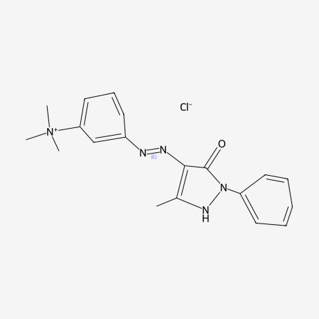 Cc1[nH]n(-c2ccccc2)c(=O)c1/N=N/c1cccc([N+](C)(C)C)c1.[Cl-]